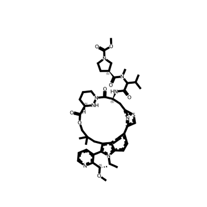 CCn1c(-c2cccnc2[C@H](C)OC)c2c3cc(ccc31)-c1csc(n1)C[C@H](NC(=O)C(C(C)C)N(C)C(=O)[C@H]1CCN(C(=O)OC)C1)C(=O)N1CCC[C@H](N1)C(=O)OCC(C)(C)C2